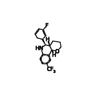 FC1=CC([C@@H]2Nc3ccc(C(F)(F)F)cc3[C@H]3OCCC[C@H]32)CC=C1